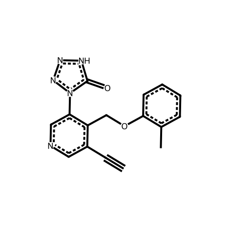 C#Cc1cncc(-n2nn[nH]c2=O)c1COc1ccccc1C